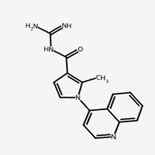 Cc1c(C(=O)NC(=N)N)ccn1-c1ccnc2ccccc12